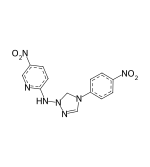 O=[N+]([O-])c1ccc(N2C=NN(Nc3ccc([N+](=O)[O-])cn3)C2)cc1